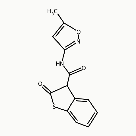 Cc1cc(NC(=O)C2C(=O)Sc3ccccc32)no1